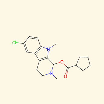 CN1CCc2c(n(C)c3ccc(Cl)cc23)C1OC(=O)C1CCCC1